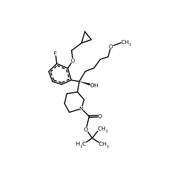 COCCCC[C@@](O)(c1cccc(F)c1OCC1CC1)C1CCCN(C(=O)OC(C)(C)C)C1